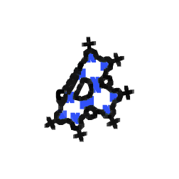 CC(C)(C)c1cc2nc(c1)c1ccc3c4cc(C(C)(C)C)cc(n4)c4cc(C(C)(C)C)cc(n4)c4ccc5c6cc(C(C)(C)C)cc(n6)c6cc(C(C)(C)C)cc(n6)c6ccc(c7cc(C(C)(C)C)cc2n7)c2nc7c8nc1c3nc8c1nc4c5nc1c7nc62